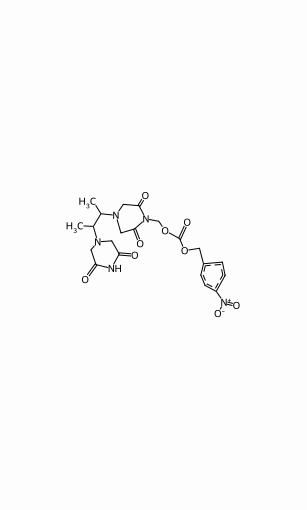 CC(C(C)N1CC(=O)N(COC(=O)OCc2ccc([N+](=O)[O-])cc2)C(=O)C1)N1CC(=O)NC(=O)C1